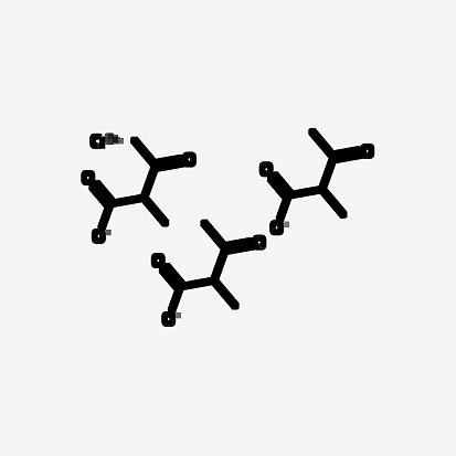 CC(=O)C(C)C(=O)[O-].CC(=O)C(C)C(=O)[O-].CC(=O)C(C)C(=O)[O-].[Cr+3]